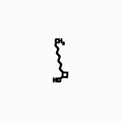 CCCCCCCCC1CCC1O